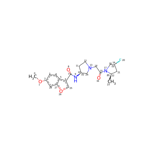 COc1ccc2c(C(=O)N[C@H]3CCN(CC(=O)N4C[C@@H](F)C[C@H]4C)C3)coc2c1